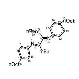 CCCCCCCCc1ccc(/N=C(CCCC)/C(CCCCC)=N/c2ccc(CCCCCCCC)cc2)cc1.[Ni]